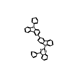 c1ccc(-c2nc(-n3c4ccccc4c4cc(-c5ccc6c(c5)c5ccccc5n6-c5ccccc5)ccc43)nc3ccccc23)cc1